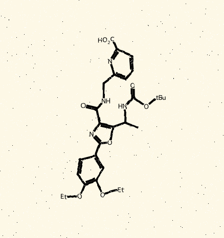 CCOc1ccc(-c2nc(C(=O)NCc3cccc(C(=O)O)n3)c(C(C)NC(=O)OC(C)(C)C)o2)cc1OCC